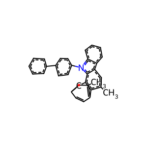 CC1=C2C=CC(C1)Cc1c2c(C)cc2c3ccccc3n(-c3ccc(-c4ccccc4)cc3)c12